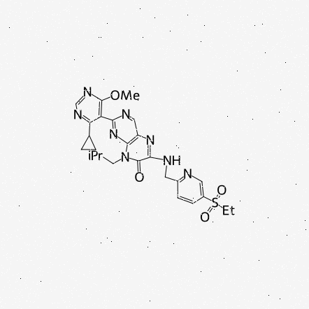 CCS(=O)(=O)c1ccc(CNc2nc3cnc(-c4c(OC)ncnc4C4CC4)nc3n(CC(C)C)c2=O)nc1